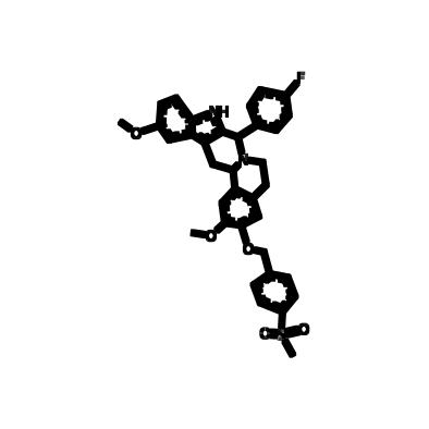 COc1ccc2[nH]c3c(c2c1)CC1c2cc(OC)c(OCc4ccc(S(C)(=O)=O)cc4)cc2CCN1C3c1ccc(F)cc1